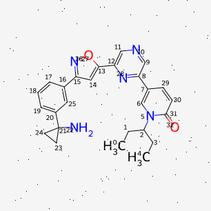 CCC(CC)n1cc(-c2cncc(-c3cc(-c4cccc(C5(N)CC5)c4)no3)n2)ccc1=O